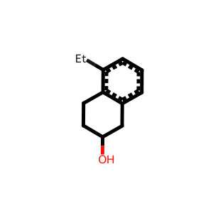 CCc1cccc2c1CCC(O)C2